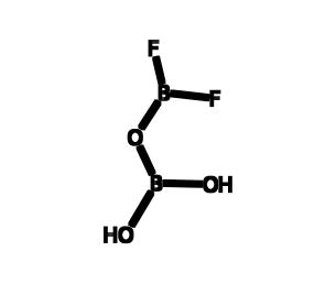 OB(O)OB(F)F